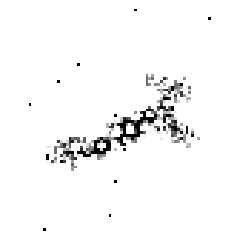 C/N=C(/NCCc1ccc(NC(=O)c2ccc(C3=CCN(C(=NC(=O)OC(C)(C)C)NC(=O)OC(C)(C)C)CC3)cc2)cc1)N(C)C